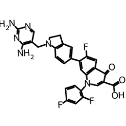 Nc1ncc(CN2CCc3cc(-c4cc5c(cc4F)c(=O)c(C(=O)O)cn5-c4ccc(F)cc4F)ccc32)c(N)n1